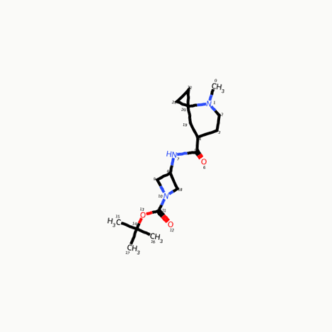 CN1CCC(C(=O)NC2CN(C(=O)OC(C)(C)C)C2)CC12CC2